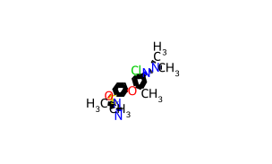 CCN(C)C=Nc1cc(C)c(Oc2cccc(S(=O)(=NC#N)C(C)C)c2)cc1Cl